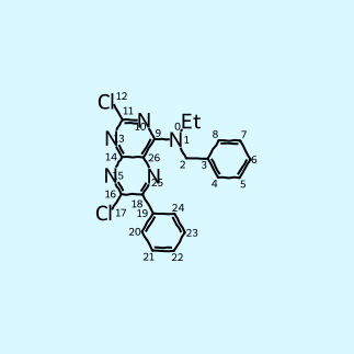 CCN(Cc1ccccc1)c1nc(Cl)nc2nc(Cl)c(-c3ccccc3)nc12